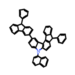 c1ccc(C2c3ccccc3-c3cc(-c4ccc5c(c4)c4c6c(ccc4n5-c4cccc5ccccc45)C(c4ccccc4)c4ccccc4-6)ccc32)cc1